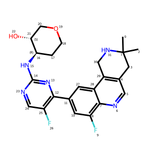 CC1(C)Cc2cnc3c(F)cc(-c4nc(N[C@@H]5CCOC[C@H]5O)ncc4F)cc3c2CN1